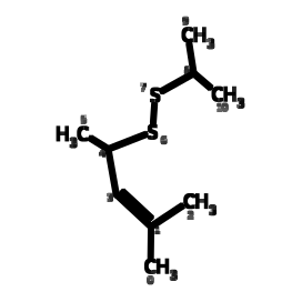 CC(C)=CC(C)SSC(C)C